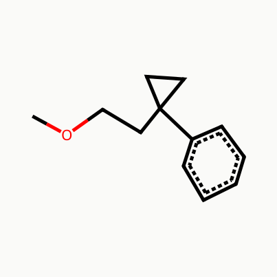 COCCC1(c2ccccc2)CC1